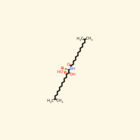 CC(C)CCCCCCCCCCCC(=O)N[C@@H](CS(=O)(=O)O)[C@H](O)CCCCCCCCCCCC(C)C